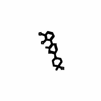 CCC1(C)CCN(c2cnc(-c3cccc(Cl)c3Cl)c(C)n2)CC1